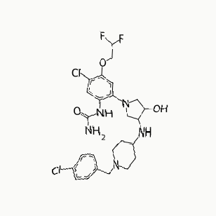 NC(=O)Nc1cc(Cl)c(OCC(F)F)cc1N1CC(O)C(NC2CCN(Cc3ccc(Cl)cc3)CC2)C1